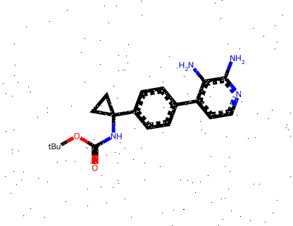 CC(C)(C)OC(=O)NC1(c2ccc(-c3ccnc(N)c3N)cc2)CC1